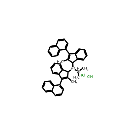 CC1=C(c2cccc3ccccc23)c2ccccc2[CH]1[Hf]([CH]1C(C)=C(c2cccc3ccccc23)c2ccccc21)[SiH](C)C.Cl.Cl